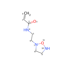 C=CC(=O)NCCN1CCNO1